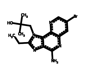 CCc1nc2c(N)nc3cc(Br)cnc3c2n1CC(C)(C)O